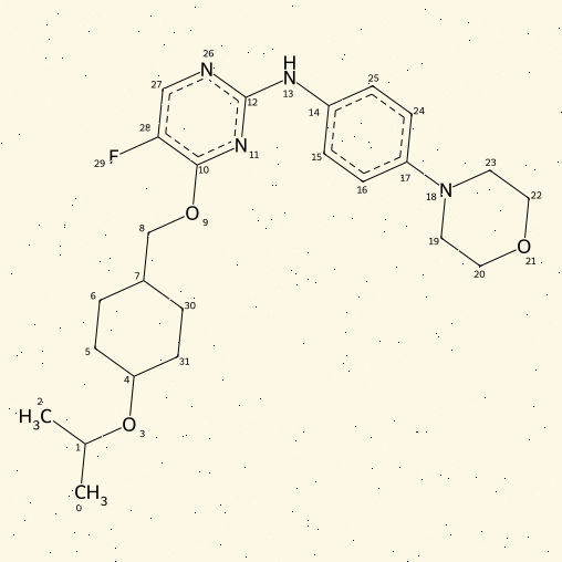 CC(C)OC1CCC(COc2nc(Nc3ccc(N4CCOCC4)cc3)ncc2F)CC1